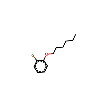 CCCCCCOc1ccccc1[S]